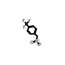 O=[N+]([O-])Cc1ccc(C(F)(F)F)cc1